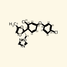 CC1=CO[C@](Cn2cncn2)(c2ccc(Oc3ccc(Cl)cc3)cc2Cl)O1